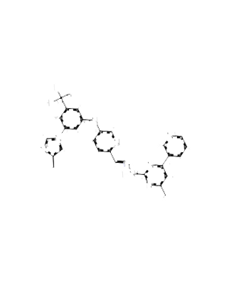 Cc1cn(-c2cc(Nc3ccc(/C=N/Nc4nc(C)cc(-c5cccnc5)n4)nc3)cc(C(F)(F)F)c2)cn1